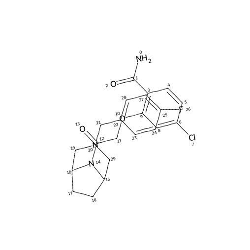 NC(=O)c1ccc(Cl)cc1OCC(=O)N1C2CCC1CN(Cc1ccc(F)cc1)C2